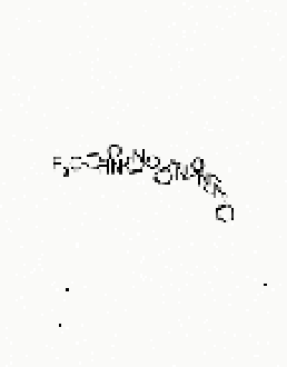 O=C(Nc1ccc(Oc2cccc3c2ccn3CC(=O)N2CCN(Cc3ccccc3)CC2)nc1)c1ccc(C(F)(F)F)cc1